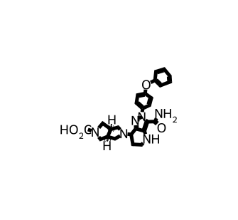 NC(=O)c1c2c(nn1-c1ccc(Oc3ccccc3)cc1)C(N1C[C@H]3CN(C(=O)O)C[C@H]3C1)CCN2